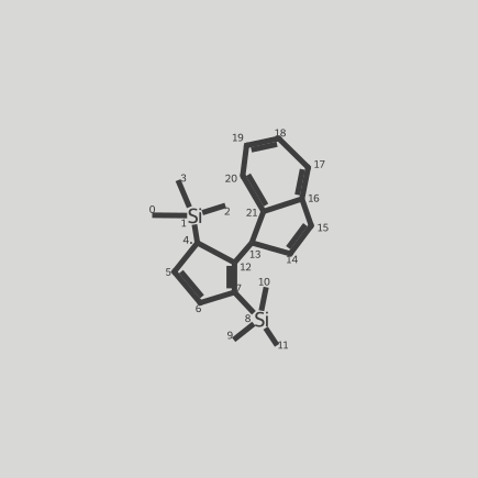 C[Si](C)(C)[C]1C=CC([Si](C)(C)C)=C1C1C=Cc2ccccc21